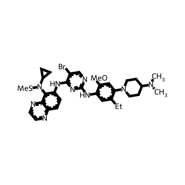 CCc1cc(Nc2ncc(Br)c(Nc3ccc4nccnc4c3N(SC)C3CC3)n2)c(OC)cc1N1CCC(N(C)C)CC1